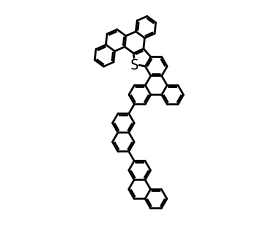 c1ccc2c(c1)ccc1cc(-c3ccc4ccc(-c5ccc6c(c5)c5ccccc5c5ccc7c(sc8c9c%10ccccc%10ccc9c9ccccc9c78)c56)cc4c3)ccc12